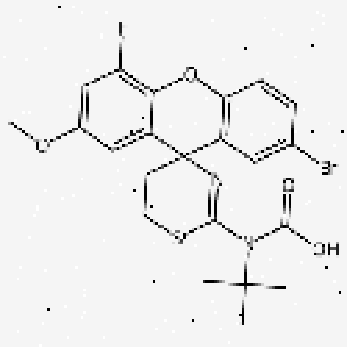 COc1cc(F)c2c(c1)C1(CCSC(N(C(=O)O)C(C)(C)C)=N1)c1cc(Br)ccc1O2